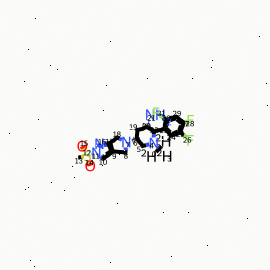 [2H]C([2H])([2H])N1C[C@H](N2Cc3cn(S(C)(=O)=O)nc3C2)C[C@H](N)C1c1cc(F)c(F)cc1F